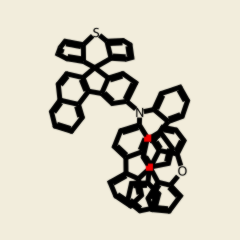 c1ccc(-c2ccc(-c3ccccc3N(c3ccc4c(c3)-c3c(ccc5ccccc35)C43c4ccccc4Sc4ccccc43)c3ccc4c(c3)C3(c5ccccc5Oc5ccccc53)c3ccccc3-4)cc2)cc1